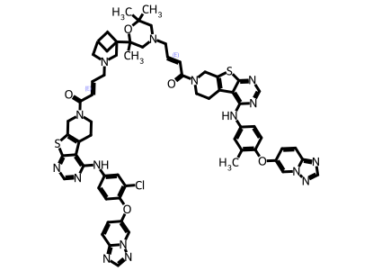 Cc1cc(Nc2ncnc3sc4c(c23)CCN(C(=O)/C=C/CN2CC(C)(C)OC(C)(C35CC(CN(C/C=C/C(=O)N6CCc7c(sc8ncnc(Nc9ccc(Oc%10ccc%11ncnn%11c%10)c(Cl)c9)c78)C6)C3)C5)C2)C4)ccc1Oc1ccc2ncnn2c1